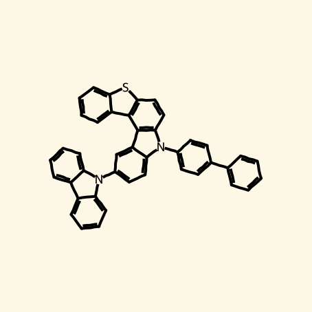 c1ccc(-c2ccc(-n3c4ccc(-n5c6ccccc6c6ccccc65)cc4c4c5c(ccc43)sc3ccccc35)cc2)cc1